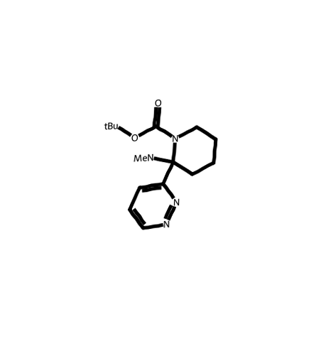 CNC1(c2cccnn2)CCCCN1C(=O)OC(C)(C)C